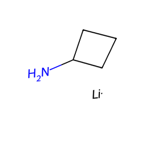 NC1CCC1.[Li]